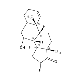 C[C@]12C=CCCC1CC(O)[C@@H]1[C@H]2CC[C@]2(C)C(=O)C(F)C[C@@H]12